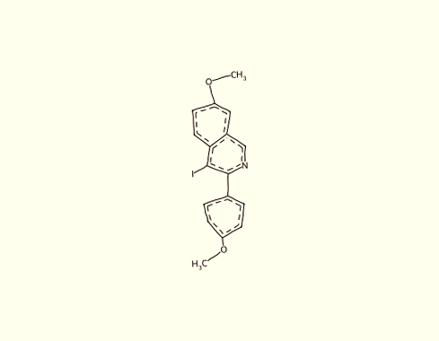 COc1ccc(-c2ncc3cc(OC)ccc3c2I)cc1